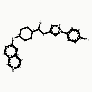 NC(Cc1cnn(-c2ccc(F)cc2)c1)C1CCC(Oc2ccc3cnccc3c2)CC1